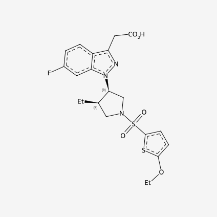 CCOc1ccc(S(=O)(=O)N2C[C@@H](CC)[C@@H](n3nc(CC(=O)O)c4ccc(F)cc43)C2)s1